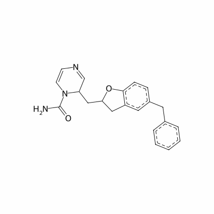 NC(=O)N1C=CN=CC1CC1Cc2cc(Cc3ccccc3)ccc2O1